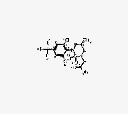 CC1CN(CC(=O)O)S(=O)(=O)N(c2c(Cl)cc(C(F)(F)F)cc2Cl)C1